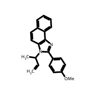 C=CC(C)n1c(-c2ccc(OC)cc2)nc2c3ccccc3ccc21